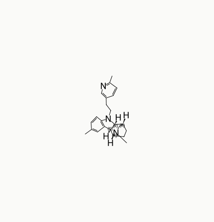 Cc1ccc2c(c1)[C@@H]1[C@@H]([C@@H]3CC[C@H]1N(C)C3)N2CCc1ccc(C)nc1